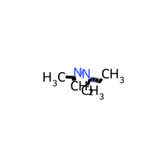 C=C(C)/N=N\C(C)=C/C